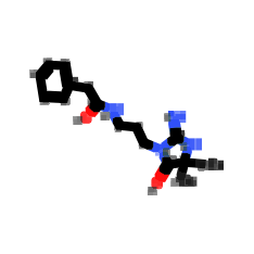 CCCCC1(CCCC)NC(=N)N(CCCNC(=O)Cc2ccccc2)C1=O